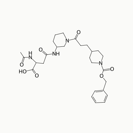 CC(=O)NC(CC(=O)NC1CCCN(C(=O)CCC2CCN(C(=O)OCc3ccccc3)CC2)C1)C(=O)O